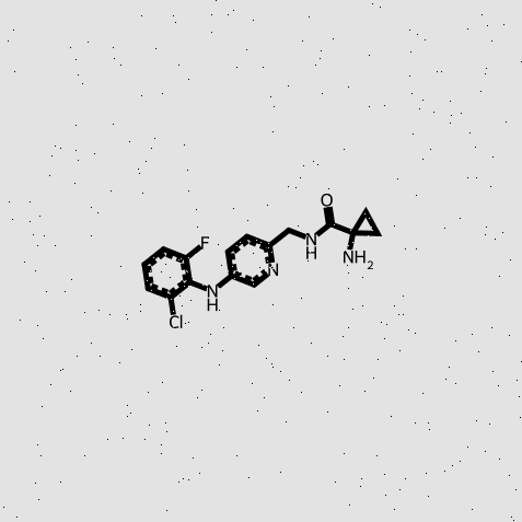 NC1(C(=O)NCc2ccc(Nc3c(F)cccc3Cl)cn2)CC1